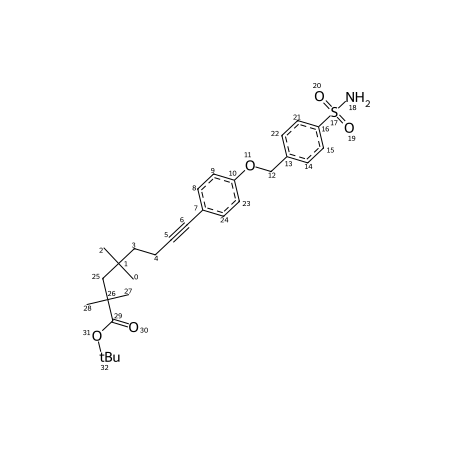 CC(C)(CCC#Cc1ccc(OCc2ccc(S(N)(=O)=O)cc2)cc1)CC(C)(C)C(=O)OC(C)(C)C